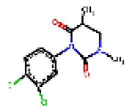 CC1CN(C)C(=O)N(c2ccc(Cl)c(Cl)c2)C1=O